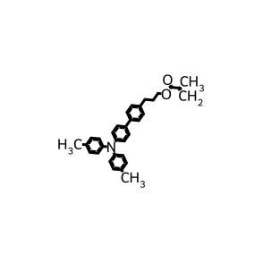 C=C(C)C(=O)OCCCc1ccc(-c2ccc(N(c3ccc(C)cc3)c3ccc(C)cc3)cc2)cc1